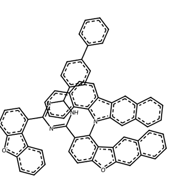 c1ccc(-c2ccc(C3N=C(c4cccc5oc6ccccc6c45)N=C(c4ccc5oc6cc7ccccc7cc6c5c4-n4c5cc6ccccc6cc5c5ccc6ccccc6c54)N3)cc2)cc1